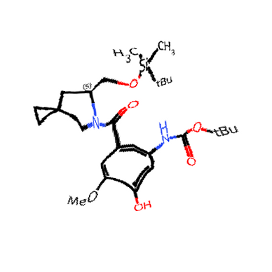 COc1cc(C(=O)N2CC3(CC3)C[C@H]2CO[Si](C)(C)C(C)(C)C)c(NC(=O)OC(C)(C)C)cc1O